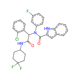 O=C(NC1CCC(F)(F)CC1)C(c1ccccc1Cl)N(C(=O)c1cc2ccccc2[nH]1)c1cccc(F)c1